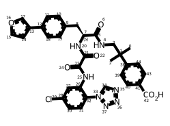 CC(C)(CNC(=O)[C@H](Cc1ccc(-c2ccoc2)cc1)NC(=O)C(=O)Nc1cc(Cl)ccc1-n1cnnn1)c1ccc(C(=O)O)cc1